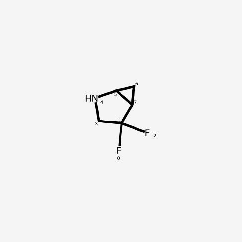 FC1(F)CNC2CC21